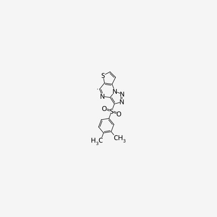 Cc1ccc(S(=O)(=O)c2nnn3c2n[c]c2sccc23)cc1C